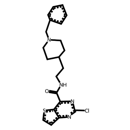 O=C(NCCC1CCN(Cc2ccccc2)CC1)c1nc(Cl)nc2ccsc12